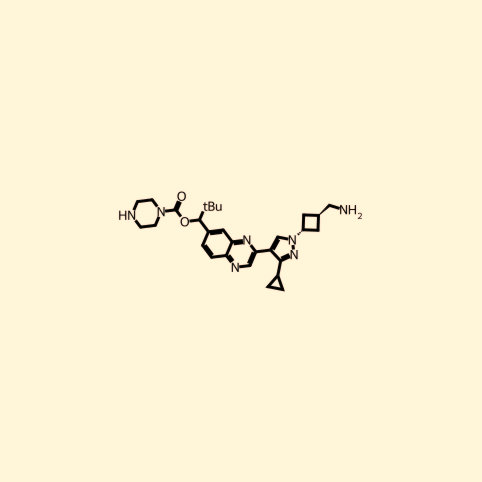 CC(C)(C)C(OC(=O)N1CCNCC1)c1ccc2ncc(-c3cn([C@H]4C[C@H](CN)C4)nc3C3CC3)nc2c1